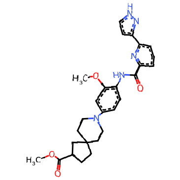 COC(=O)C1CCC2(CCN(c3ccc(NC(=O)c4cccc(-c5cc[nH]n5)n4)c(OC)c3)CC2)C1